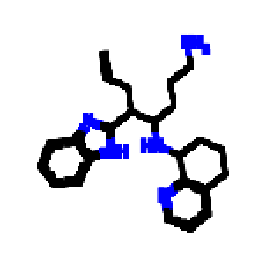 C=CCC(c1nc2ccccc2[nH]1)C(CCCN)NC1CCCc2cccnc21